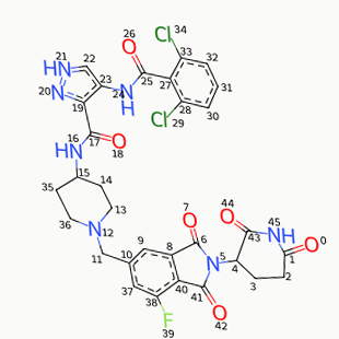 O=C1CCC(N2C(=O)c3cc(CN4CCC(NC(=O)c5n[nH]cc5NC(=O)c5c(Cl)cccc5Cl)CC4)cc(F)c3C2=O)C(=O)N1